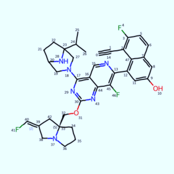 C#Cc1c(F)ccc2cc(O)cc(-c3ncc4c(N5CC6CCC(C(C)C)(C5)N6)nc(OC[C@@]56CCCN5C/C(=C\F)C6)nc4c3F)c12